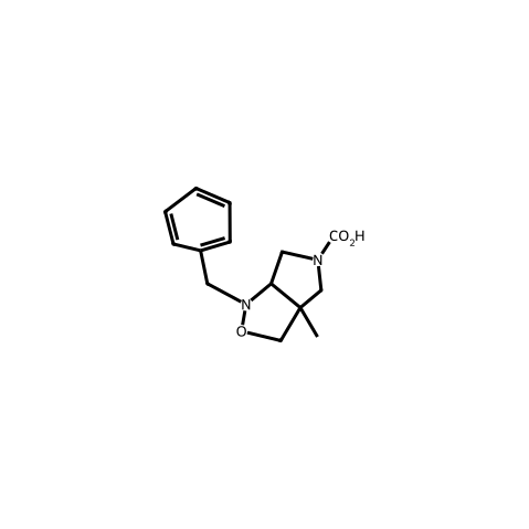 CC12CON(Cc3ccccc3)C1CN(C(=O)O)C2